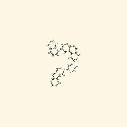 c1cc(-c2ccc3oc4ccccc4c3c2)cc(-c2ccc3ccc4ccc(-c5cccc6ccccc56)nc4c3n2)c1